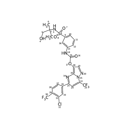 CC(C)(CO)NS(=O)(=O)c1cccc(NC(=O)Oc2cnn3c(C(F)(F)F)cc(-c4ccc(C(F)(F)F)c(Cl)c4)nc23)c1